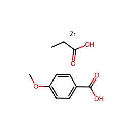 CCC(=O)O.COc1ccc(C(=O)O)cc1.[Zr]